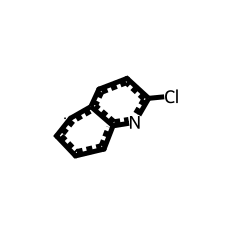 Clc1ccc2[c]cccc2n1